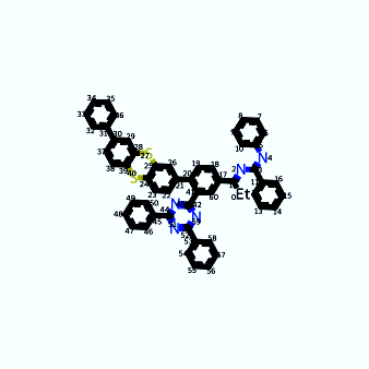 CC/C(=N\C(=N/c1ccccc1)c1ccccc1)c1ccc(-c2ccc3c(c2)Sc2cc(-c4ccccc4)ccc2S3)c(-c2nc(-c3ccccc3)nc(-c3ccccc3)n2)c1